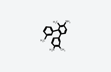 Cc1cccc(-c2c(-c3ccc(N)c(C)c3)ccc(N)c2C)c1